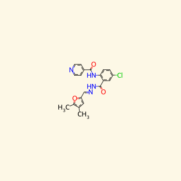 Cc1cc(C=NNC(=O)c2cc(Cl)ccc2NC(=O)c2ccncc2)oc1C